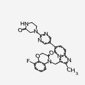 Cc1nc2ccc(-c3cnc(N4CCNC(=O)C4)nc3)cn2c1CN1C(=O)COc2c(F)cccc21